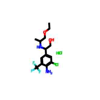 CCOCC(C)NC(CO)c1cc(Cl)c(N)c(C(F)(F)F)c1.Cl